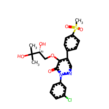 CC(C)(O)[C@H](O)COc1c(-c2ccc(S(C)(=O)=O)cc2)cnn(-c2cccc(Cl)c2)c1=O